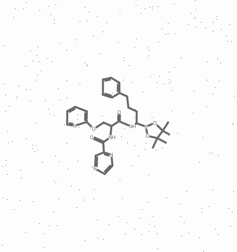 CC1(C)OB(C(CCCc2ccccc2)NC(=O)C(COc2ccccn2)NC(=O)c2cnccn2)OC1(C)C